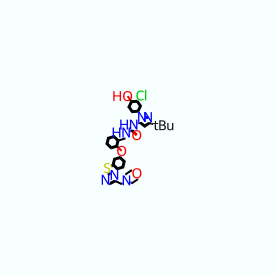 CC(C)(C)c1cc(NC(=O)NCc2ccccc2Oc2ccc3c(c2)sc2ncc(CN4CCOCC4)n23)n(-c2ccc(O)c(Cl)c2)n1